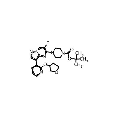 CC(C)(C)OC(=O)N1CCN(c2nc3c(-c4cccnc4OC4CCOC4)cnn3cc2F)CC1